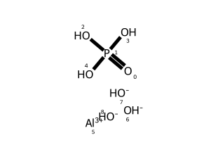 O=P(O)(O)O.[Al+3].[OH-].[OH-].[OH-]